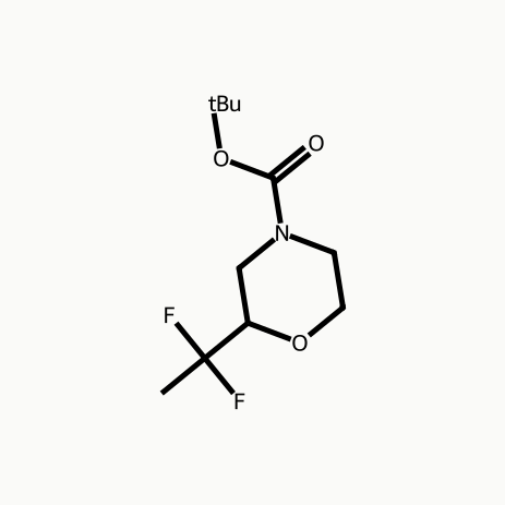 CC(C)(C)OC(=O)N1CCOC(C(C)(F)F)C1